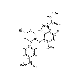 CC[C@@H]1CCN(Cc2c(OC)cc(C)c3c2ccn3C(=O)OC(C)(C)C)[C@H](c2ccc(C(=O)OC)cc2)C1